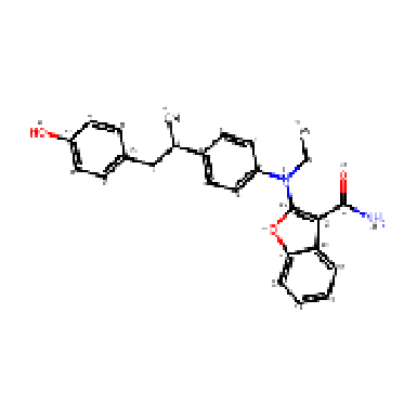 CC(C)CN(c1ccc(C(C#N)Cc2ccc(O)cc2)cc1)c1oc2ccccc2c1C(N)=O